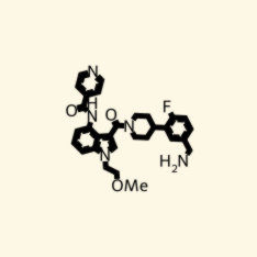 COCCn1cc(C(=O)N2CCC(c3cc(CN)ccc3F)CC2)c2c(NC(=O)c3ccncc3)cccc21